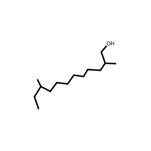 CCC(C)CCCCCCCC(C)CO